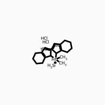 CC(C)(C)C1=CC2=C(CCCC2)[CH]1[Hf]([CH3])([CH3])(=[SiH2])[CH]1C(C(C)(C)C)=CC2=C1CCCC2.Cl.Cl